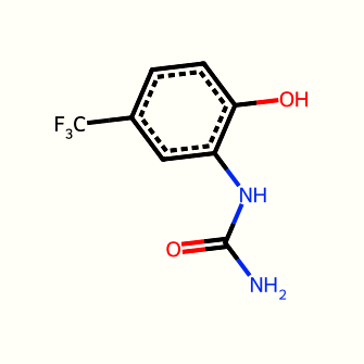 NC(=O)Nc1cc(C(F)(F)F)ccc1O